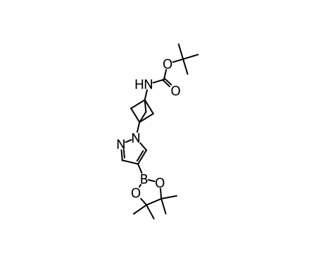 CC(C)(C)OC(=O)NC12CC(n3cc(B4OC(C)(C)C(C)(C)O4)cn3)(C1)C2